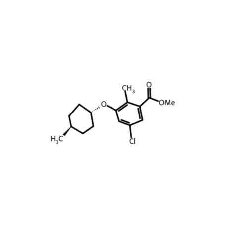 COC(=O)c1cc(Cl)cc(O[C@H]2CC[C@H](C)CC2)c1C